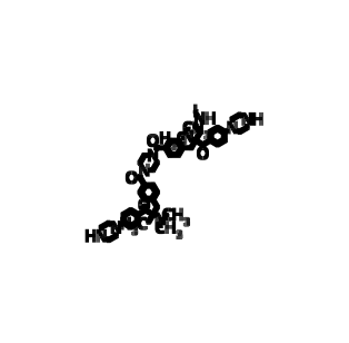 CCC(Cc1ccc(C(=O)N2CCN(C(=O)c3ccc(CC(CCNI)(C(=O)c4ccc(N5CCNCC5)cc4)N(C)C)cc3)CC2)cc1)(C(=O)c1ccc(N2CCNCC2)cc1)N(C)C